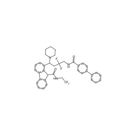 O=C(NCC(F)(F)CC(c1cccc2c1C(C(=O)NCC(F)(F)F)c1ccccc1-2)N1CCCCC1)c1ccc(-c2ccccc2)cc1